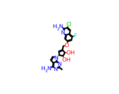 Cc1nc(N)c2ccn([C@@H]3C=C(COc4cc(F)c5cc(Cl)c(N)nc5c4)[C@@H](O)[C@H]3O)c2n1